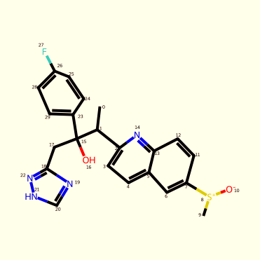 CC(c1ccc2cc([S+](C)[O-])ccc2n1)C(O)(Cc1nc[nH]n1)c1ccc(F)cc1